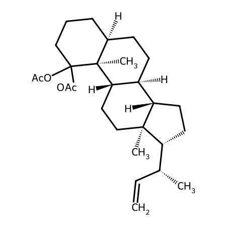 C=C[C@@H](C)[C@H]1CC[C@H]2[C@@H]3CC[C@@H]4CCCC(OC(C)=O)(OC(C)=O)[C@]4(C)[C@H]3CC[C@]12C